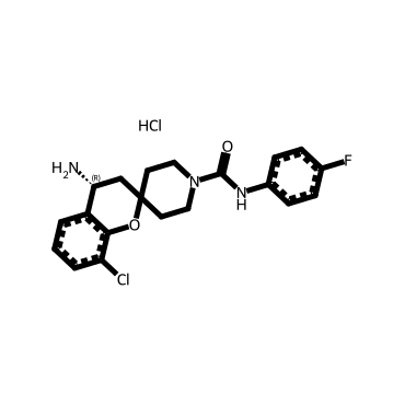 Cl.N[C@@H]1CC2(CCN(C(=O)Nc3ccc(F)cc3)CC2)Oc2c(Cl)cccc21